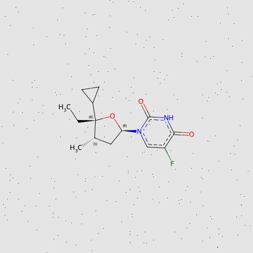 CC[C@@]1(C2CC2)O[C@@H](n2cc(F)c(=O)[nH]c2=O)C[C@@H]1C